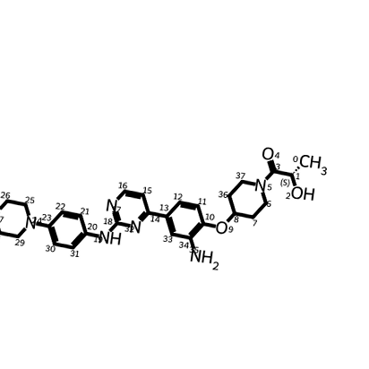 C[C@H](O)C(=O)N1CCC(Oc2ccc(-c3ccnc(Nc4ccc(N5CCOCC5)cc4)n3)cc2N)CC1